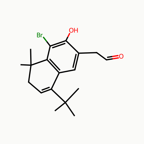 CC(C)(C)C1=CCC(C)(C)c2c1cc(CC=O)c(O)c2Br